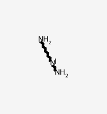 NCCCCCCCCCN(I)CCCN